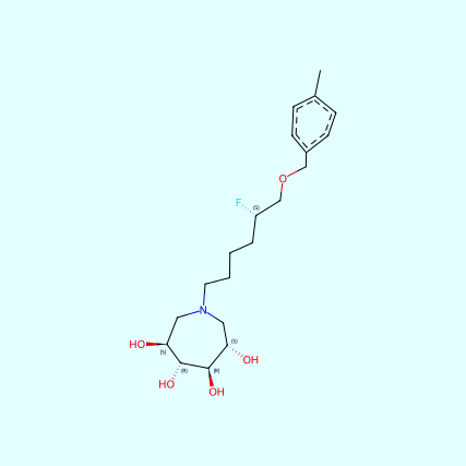 Cc1ccc(COC[C@@H](F)CCCCN2C[C@H](O)[C@@H](O)[C@H](O)[C@@H](O)C2)cc1